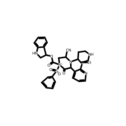 CCOc1ncccc1C1C(=O)[N+](C(=O)OC2CNc3ccccc32)(S(=O)(=O)c2ccccc2)CC(C#N)N1C1CCNCC1